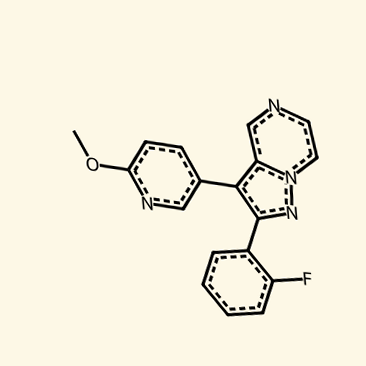 COc1ccc(-c2c(-c3ccccc3F)nn3ccncc23)cn1